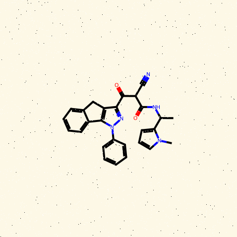 CC(NC(=O)C(C#N)C(=O)c1nn(-c2ccccc2)c2c1Cc1ccccc1-2)c1cccn1C